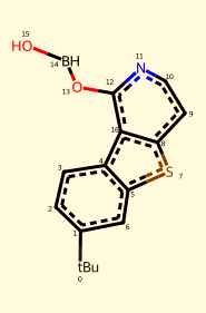 CC(C)(C)c1ccc2c(c1)sc1ccnc(OBO)c12